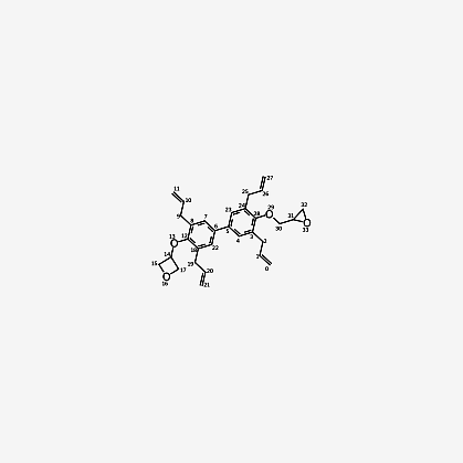 C=CCc1cc(-c2cc(CC=C)c(OC3COC3)c(CC=C)c2)cc(CC=C)c1OCC1CO1